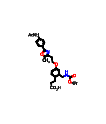 CC(=O)Nc1ccc(-c2nc(CCOc3ccc(CCC(=O)O)c(CNC(=O)OC(C)C)c3)c(C)o2)cc1